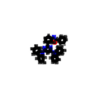 c1ccc(-c2nc3cccc(-c4nc(-n5c6ccccc6c6ccccc65)cc(-n5c6ccccc6c6ccccc65)n4)c3o2)cc1